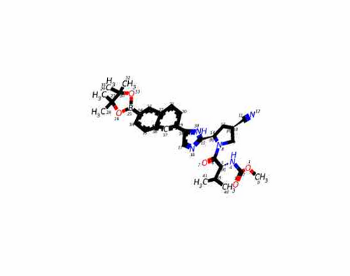 COC(=O)N[C@@H](C(=O)N1C[C@H](C#N)C[C@@H]1c1ncc(-c2ccc3cc(B4OC(C)(C)C(C)(C)O4)ccc3c2)[nH]1)C(C)C